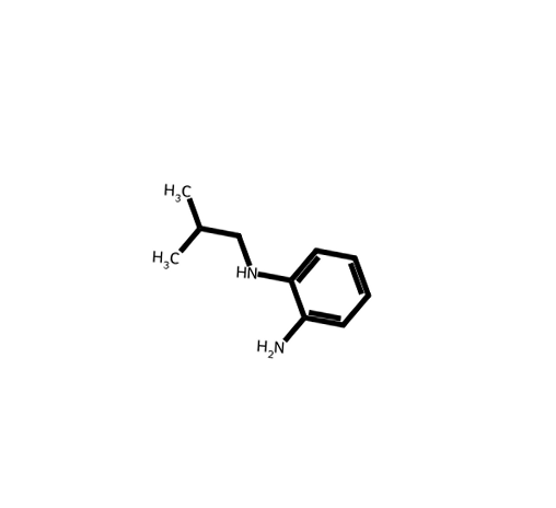 CC(C)CNc1ccccc1N